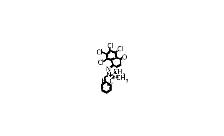 C[Si](C)(C)N(Cc1ccccc1)N=C1C=CC(=O)c2c(Cl)c(Cl)c(Cl)c(Cl)c21